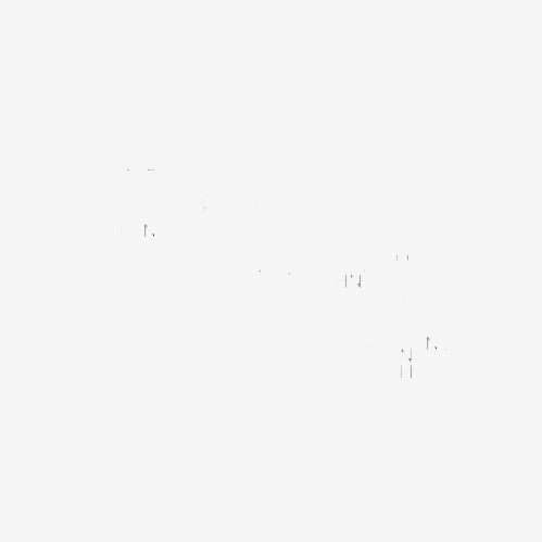 O=C(NCC1CCC(COc2ccccn2)CC1)c1cn[nH]c1